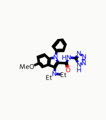 CCN(CC)c1c(C(=O)Nc2nnn[nH]2)n(-c2ccccc2)c2ccc(OC)cc12